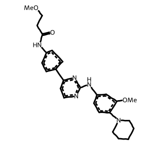 COCCC(=O)Nc1ccc(-c2ccnc(Nc3ccc(N4CCCCC4)c(OC)c3)n2)cc1